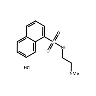 CNCCNS(=O)(=O)c1cccc2ccccc12.Cl